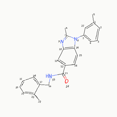 Cc1cccc(-n2c(C)nc3cc(C(=O)NCc4ccccc4C)ccc32)c1